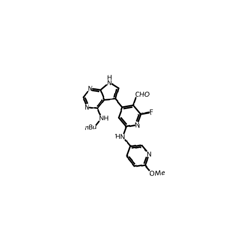 CCCCNc1ncnc2[nH]cc(-c3cc(Nc4ccc(OC)nc4)nc(F)c3C=O)c12